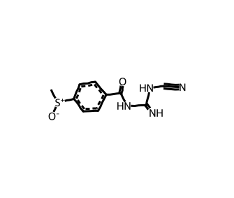 C[S+]([O-])c1ccc(C(=O)NC(=N)NC#N)cc1